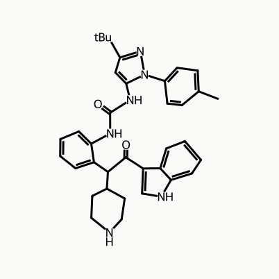 Cc1ccc(-n2nc(C(C)(C)C)cc2NC(=O)Nc2ccccc2C(C(=O)c2c[nH]c3ccccc23)C2CCNCC2)cc1